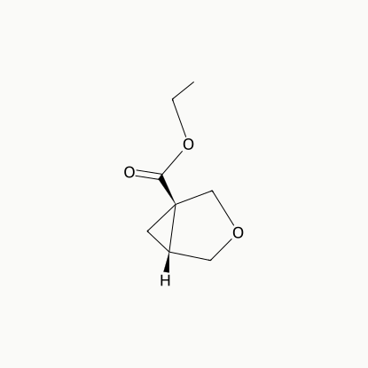 CCOC(=O)[C@@]12COC[C@@H]1C2